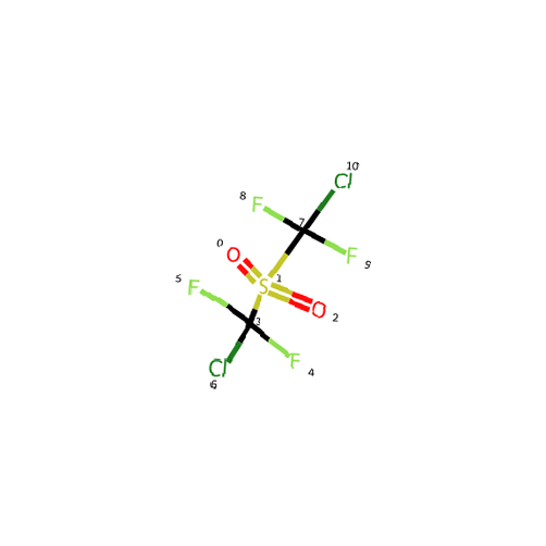 O=S(=O)(C(F)(F)Cl)C(F)(F)Cl